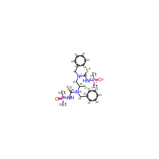 CCP(=O)(CC)NC(=S)N(Cc1ccccc1)CC(C)N(Cc1ccccc1)C(=S)NP(=O)(CC)CC